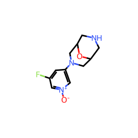 [O-][n+]1cc(F)cc(N2CC3CNCC(C2)O3)c1